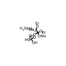 CCOCC(OC)(OCC)OO[Si](O)(O)O.[SiH4].[SiH4].[SiH4]